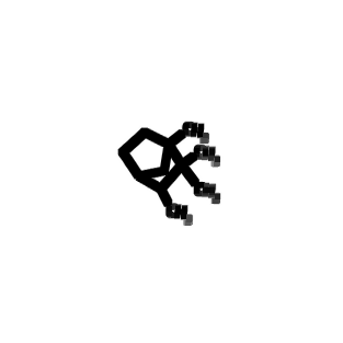 CC1C2CCC(C)(C2)C1(C)C